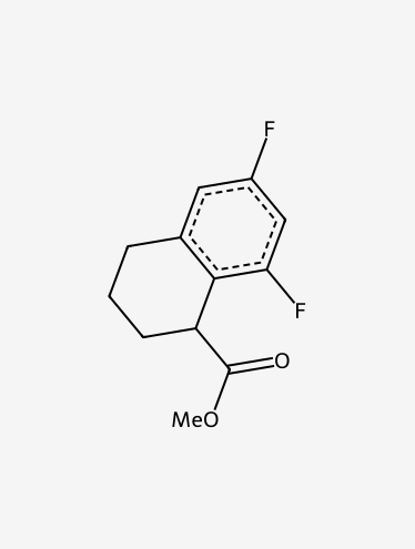 COC(=O)C1CCCc2cc(F)cc(F)c21